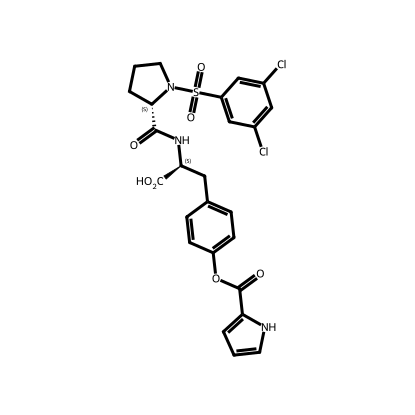 O=C(Oc1ccc(C[C@H](NC(=O)[C@@H]2CCCN2S(=O)(=O)c2cc(Cl)cc(Cl)c2)C(=O)O)cc1)c1ccc[nH]1